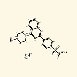 CCCN(C)S(=O)(=O)c1ccc(-c2cc3ccccc3c(N3CCN(CC)CC3)n2)cc1.Cl.Cl